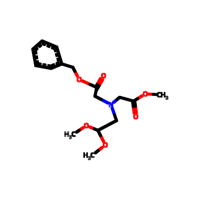 COC(=O)CN(CC(=O)OCc1ccccc1)CC(OC)OC